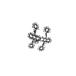 C(#Cc1c2ccccc2c(C#Cc2ccccc2)c2ccccc12)c1ccccc1.Clc1cccc2c(C#Cc3ccccc3)c3ccccc3c(C#Cc3ccccc3)c12